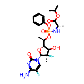 CC(C)OC(=O)[C@H](C)N[P@@](=O)(Oc1ccccc1)O[C@H](C)[C@H]1O[C@@H](n2cc(F)c(N)nc2=O)[C@](C)(F)C1O